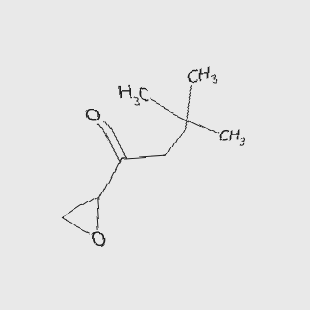 CC(C)(C)CC(=O)C1CO1